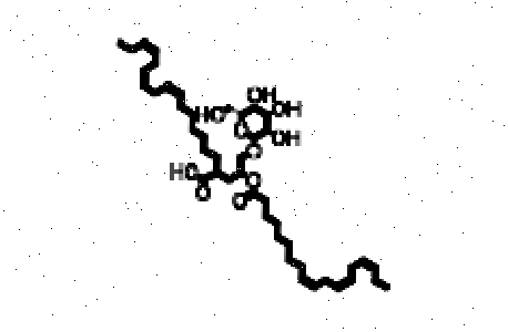 CC/C=C\C/C=C\C/C=C\CCCCCCCC(=O)OC(CO[C@H]1O[C@H](CO)[C@H](O)[C@H](O)[C@H]1O)CC(CCCCCC/C=C\C/C=C\C/C=C\CC)C(=O)O